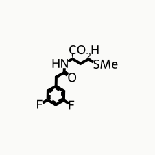 CSCC[C@H](NC(=O)Cc1cc(F)cc(F)c1)C(=O)O